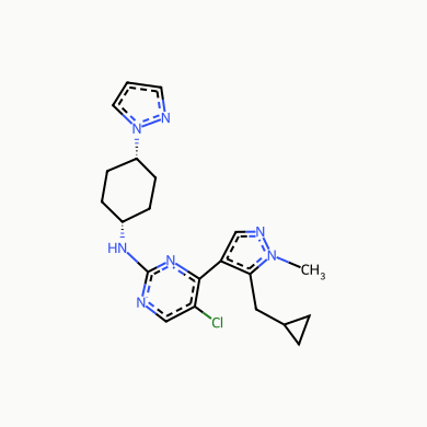 Cn1ncc(-c2nc(N[C@H]3CC[C@@H](n4cccn4)CC3)ncc2Cl)c1CC1CC1